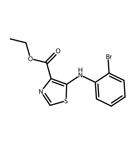 CCOC(=O)c1ncsc1Nc1ccccc1Br